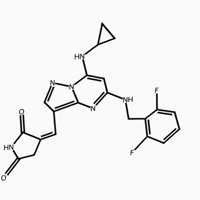 O=C1CC(=Cc2cnn3c(NC4CC4)cc(NCc4c(F)cccc4F)nc23)C(=O)N1